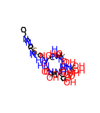 C[C@@H](O)[C@@H]1NC(=O)[C@@H](NC[C@H]2CC[C@H](c3nnc(-c4ccc(N5CCN(CCC6CCCCC6)CC5)cc4)s3)CC2)C[C@@H](O)CNC(=O)[C@@H]2[C@@H](O)[C@@H](C)CN2C(=O)[C@H]([C@H](O)CCNC(CO)CO)NC(=O)[C@H]([C@H](O)Cc2ccc(O)c(OS(=O)(=O)O)c2)NC(=O)[C@@H]2C[C@@H](O)CN2C1=O